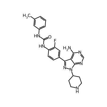 Cc1cccc(NC(=O)Nc2ccc(-c3nn(C4CCNCC4)c4ncnc(N)c34)cc2F)c1